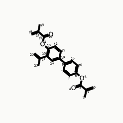 C=C(C)C(=O)Oc1ccc(-c2ccc(OC(=O)C(=C)C)c(C(=C)C)c2)cc1